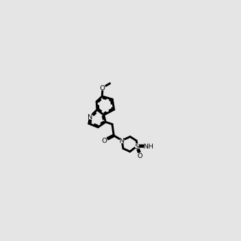 COc1ccc2c(CC(=O)N3CCS(=N)(=O)CC3)ccnc2c1